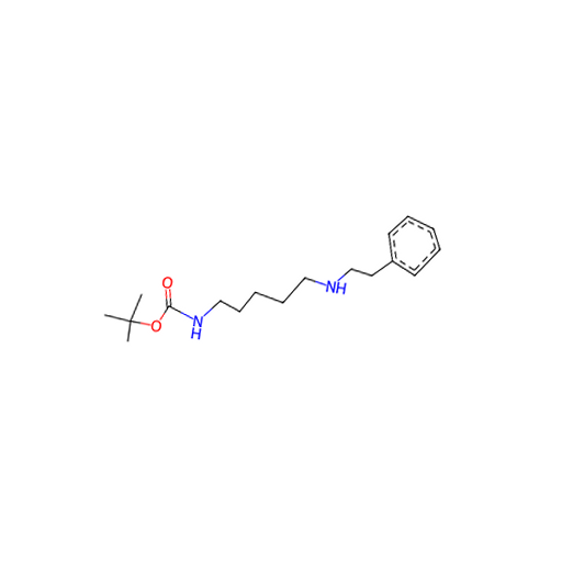 CC(C)(C)OC(=O)NCCCCCNCCc1ccccc1